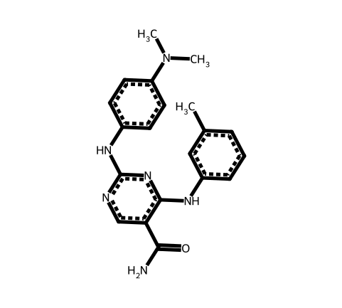 Cc1cccc(Nc2nc(Nc3ccc(N(C)C)cc3)ncc2C(N)=O)c1